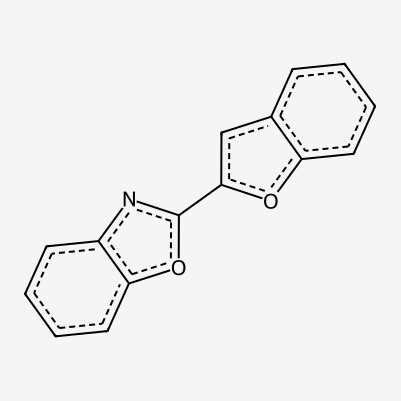 c1ccc2oc(-c3nc4ccccc4o3)cc2c1